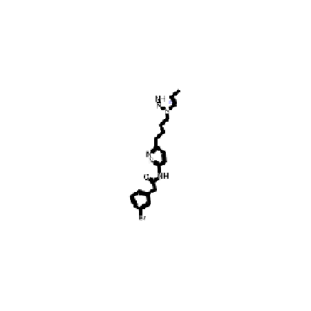 C/C=C/N(CCCCc1ccc(NC(=O)Cc2cccc(Br)c2)nn1)N=N